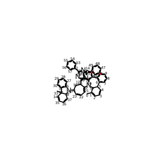 CC1=CC=CC2c3ccccc3-c3cccc(C)c3N(C3=CC=CC(N4c5ccccc5C5(C)C=CC=CC45)CC3c3nc(-c4ccccc4)nc(-c4ccccc4)n3)C12